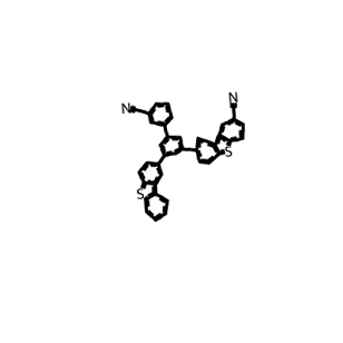 N#Cc1cccc(-c2cc(-c3ccc4sc5ccccc5c4c3)cc(-c3ccc4sc5ccc(C#N)cc5c4c3)c2)c1